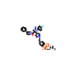 CS(=O)(=O)c1ccc(CCN2CCC(c3c(C(=O)N4CC[C@H](c5ccccc5)C4)cnn3-c3ccc(F)cc3)CC2)cc1